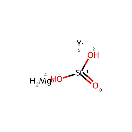 O=[Si](O)O.[MgH2].[Y]